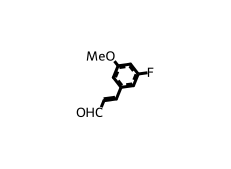 COc1cc(F)cc(/C=C/C=O)c1